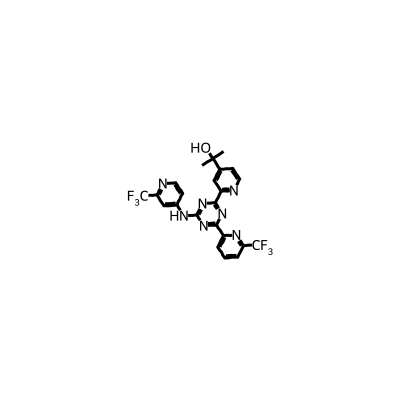 CC(C)(O)c1ccnc(-c2nc(Nc3ccnc(C(F)(F)F)c3)nc(-c3cccc(C(F)(F)F)n3)n2)c1